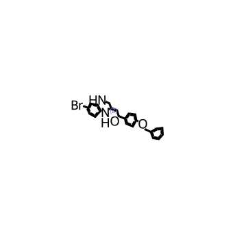 O=C(/C=C1/CNc2cc(Br)ccc2N1)c1ccc(OCc2ccccc2)cc1